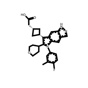 Cc1cc(-n2c(C3CCOCC3)c([C@H]3C[C@@H](CC(=O)O)C3)c3cc4[nH]ncc4cc32)ccc1F